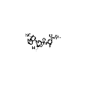 C[C@@H]1CN(c2ccc(C#N)c3ncccc23)CC(C(=O)N[C@H]2CN(C(=O)OC(C)(C)C)C[C@@H]2F)O1